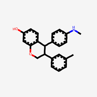 CNc1ccc(C2c3ccc(O)cc3OCC2c2cccc(C)c2)cc1